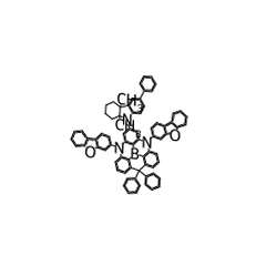 CC12CCCCC1(C)N(c1cc3c4c(c1)N(c1ccc5c(c1)oc1ccccc15)c1cccc5c1B4c1c(cccc1C5(c1ccccc1)c1ccccc1)N3c1ccc3c(c1)oc1ccccc13)c1ccc(-c3ccccc3)cc12